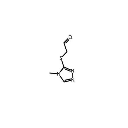 Cn1cnnc1SCC=O